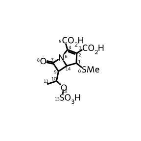 CSC1C(C(=O)O)=C(C(=O)O)N2C(=O)C(C(C)OS(=O)(=O)O)C12